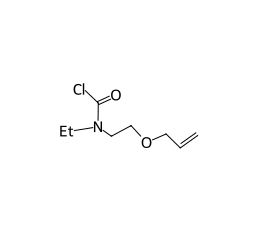 C=CCOCCN(CC)C(=O)Cl